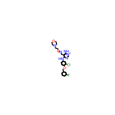 Nc1ncnc(Nc2ccc(OCc3cccc(F)c3)c(Cl)c2)c1C=NOCCN1CCOCC1